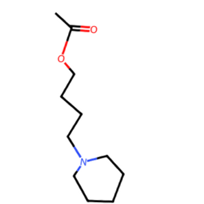 CC(=O)OCCCCN1CCCCC1